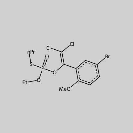 CCCSP(=O)(OCC)OC(=C(Cl)Cl)c1cc(Br)ccc1OC